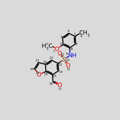 COc1ccc(C)cc1NS(=O)(=O)c1cc(C=O)c2occc2c1